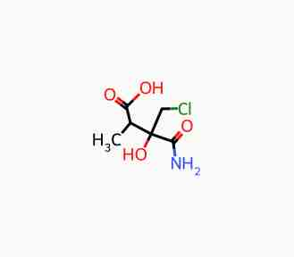 CC(C(=O)O)C(O)(CCl)C(N)=O